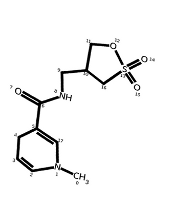 CN1C=CCC(C(=O)NCC2COS(=O)(=O)C2)=C1